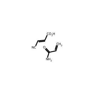 C=CC(N)=O.N#CC=CC(=O)O